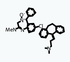 CN(C)CCC=C1c2ccccc2CCc2ccccc21.CNC1=Nc2ccc(Cl)cc2C(c2ccccc2)=[N+]([O-])C1